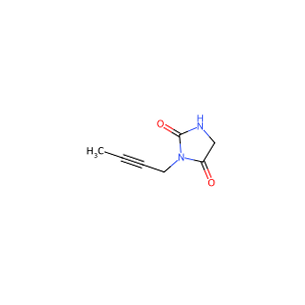 CC#CCN1C(=O)CNC1=O